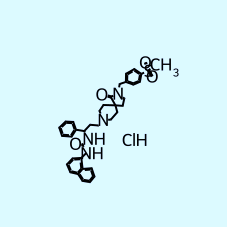 CS(=O)(=O)c1ccc(CN2CCC3(CCN(CCC(NC(=O)Nc4cccc5ccccc45)c4ccccc4)CC3)C2=O)cc1.Cl